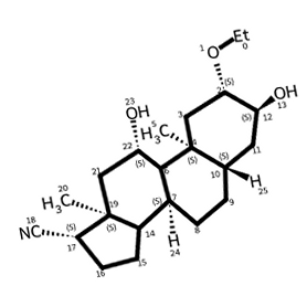 CCO[C@H]1C[C@]2(C)C3[C@@H](CC[C@H]2C[C@@H]1O)C1CC[C@H](C#N)[C@@]1(C)C[C@@H]3O